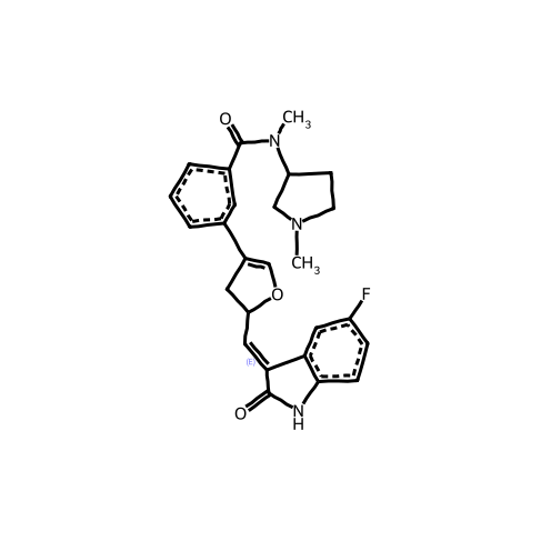 CN1CCC(N(C)C(=O)c2cccc(C3=COC(/C=C4/C(=O)Nc5ccc(F)cc54)C3)c2)C1